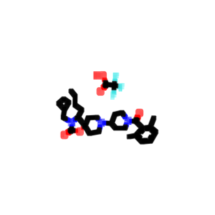 CCCCC1N(CC2CCC2)C(=O)OC12CCN(C1CCN(C(=O)c3c(C)cccc3C)CC1)CC2.O=C(O)C(F)(F)F